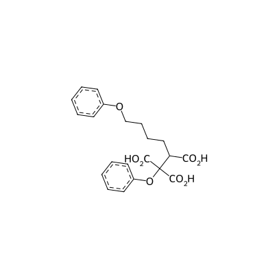 O=C(O)C(CCCCOc1ccccc1)C(Oc1ccccc1)(C(=O)O)C(=O)O